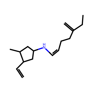 C=CC1CC(N/C=C\CCC(=C)CC)CC1C